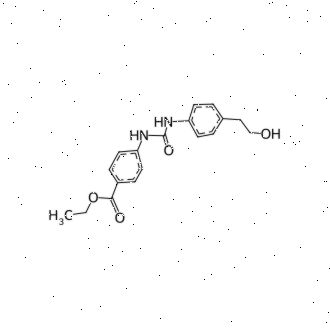 CCOC(=O)c1ccc(NC(=O)Nc2ccc(CCO)cc2)cc1